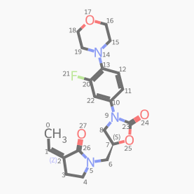 C/C=C1/CCN(C[C@H]2CN(c3ccc(N4CCOCC4)c(F)c3)C(=O)O2)C1=O